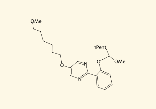 CCCCCC(OC)Oc1ccccc1-c1ncc(OCCCCCCOC)cn1